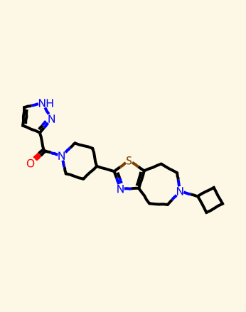 O=C(c1cc[nH]n1)N1CCC(c2nc3c(s2)CCN(C2CCC2)CC3)CC1